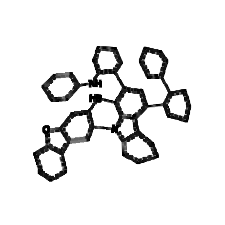 B1c2cc3oc4ccccc4c3cc2-n2c3ccccc3c3c(-c4ccccc4-c4ccccc4)cc(-c4ccccc4Nc4ccccc4)c1c32